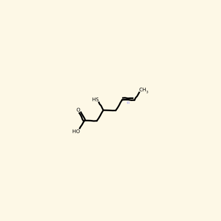 C/C=C/CC(S)CC(=O)O